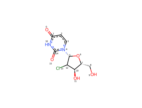 O=c1ccn([C@@H]2O[C@H](CO)[C@@H](O)C2Cl)c(=O)[nH]1